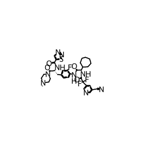 CN1CCN(C(=O)[C@@H](Cc2ccc(NC(=O)[C@@H](NC(=O)C(F)(F)c3cncc(C#N)c3)C3CCCCCC3)c(F)c2)NC(=O)c2cnns2)CC1